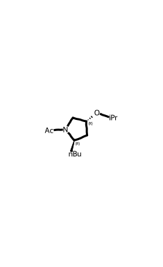 CCCC[C@@H]1C[C@@H](OC(C)C)CN1C(C)=O